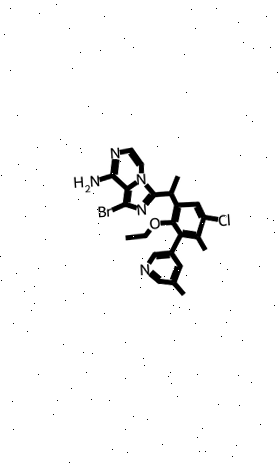 CCOc1c(C(C)c2nc(Br)c3c(N)nccn23)cc(Cl)c(C)c1-c1cncc(C)c1